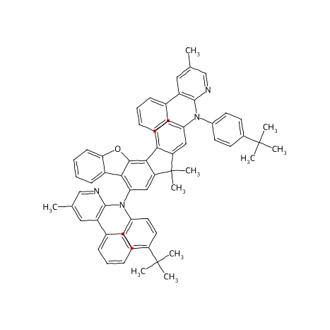 Cc1cnc(N(c2ccc(C(C)(C)C)cc2)c2ccc3c(c2)C(C)(C)c2cc(N(c4ccc(C(C)(C)C)cc4)c4ncc(C)cc4-c4ccccc4)c4c(oc5ccccc54)c2-3)c(-c2ccccc2)c1